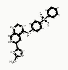 Cc1nnc(-c2cc3c(Nc4ccc(S(=O)(=O)c5ccccc5)cc4)ncnc3cn2)o1